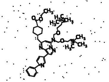 CCOC(=O)C1CCC(Cc2cc(N(COCC[Si](C)(C)C)COCC[Si](C)(C)C)n3ncc(-c4ccc(-c5ccccc5)nc4)c3n2)CC1